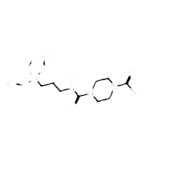 CCO[Si](CCCNC(=O)N1CCN(C(N)=O)CC1)(OCC)OCC